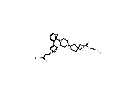 CCOC(=O)N1CC2(CC[C@@H](N3CCN(c4ncccc4-c4cnn(CCC(=O)O)c4)CC3)C2)C1